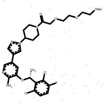 COCCOCCOCC(=O)N1CCC(n2cc(-c3cnc(N)c(O[C@H](C)c4c(Cl)ccc(F)c4Cl)c3)cn2)CC1